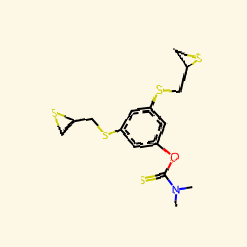 CN(C)C(=S)Oc1cc(SCC2CS2)cc(SCC2CS2)c1